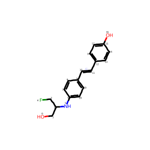 OCC(CF)Nc1ccc(/C=C/c2ccc(O)cc2)cc1